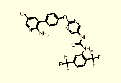 Nc1ncc(Cl)cc1-c1ccc(Oc2ncc(NC(=O)Nc3cc(C(F)(F)F)ccc3C(F)(F)F)cn2)cc1